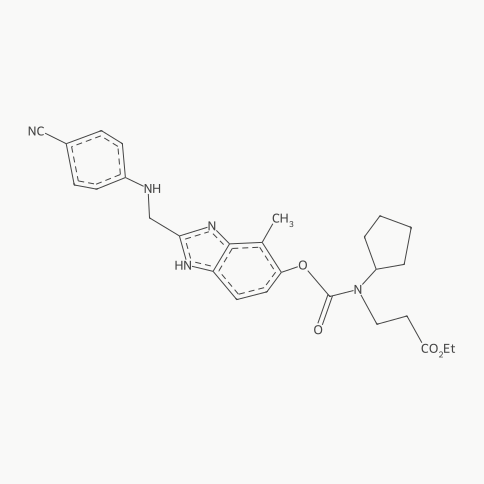 CCOC(=O)CCN(C(=O)Oc1ccc2[nH]c(CNc3ccc(C#N)cc3)nc2c1C)C1CCCC1